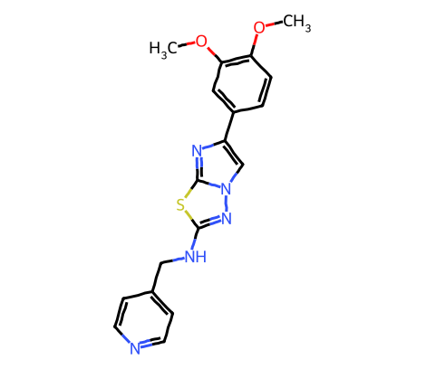 COc1ccc(-c2cn3nc(NCc4ccncc4)sc3n2)cc1OC